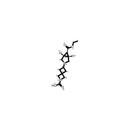 CCOC(=O)[C@H]1[C@@H]2CN(C3CC4(C3)CN(C(=O)O)C4)C[C@@H]21